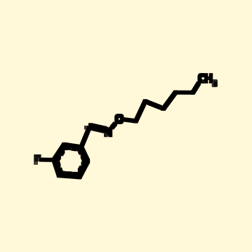 CCCCCCO/N=[C]/c1cccc(F)c1